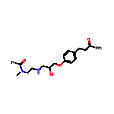 CCC(=O)N(C)CCNCC(O)COc1ccc(CCC(=O)OC)cc1